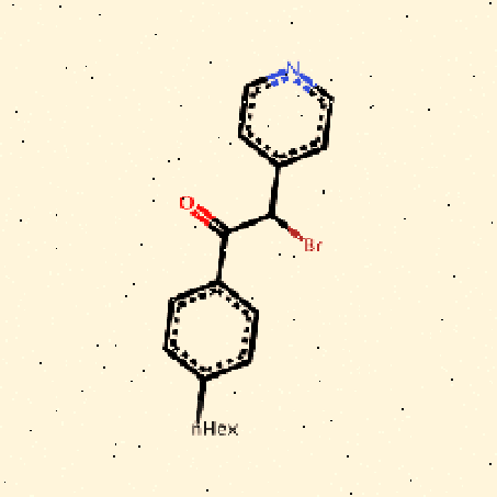 CCCCCCc1ccc(C(=O)C(Br)c2ccncc2)cc1